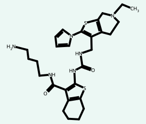 CCN1CCc2c(sc(-n3cccc3)c2CNC(=O)Nc2sc3c(c2C(=O)NCCCCN)CCCC3)C1